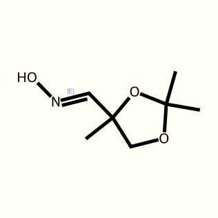 CC1(/C=N/O)COC(C)(C)O1